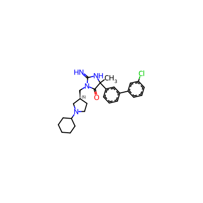 CC1(c2cccc(-c3cccc(Cl)c3)c2)NC(=N)N(C[C@H]2CCN(C3CCCCC3)C2)C1=O